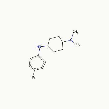 CC(C)c1ccc(NC2CCC(N(C)C)CC2)cc1